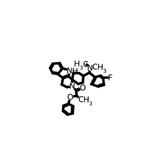 CC(Oc1ccccc1)C(=O)N1CCc2c([nH]c3ccccc23)C12CCC(C(c1cccc(F)c1)N(C)C)CC2